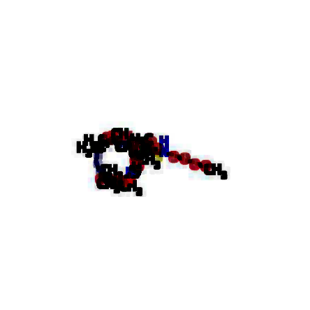 COCCOCCOCCOCCNC(=S)O[C@@H]1CC[C@@H](C[C@@H](C)[C@@H]2CC(=O)[C@H](C)/C=C(\C)[C@@H](O)[C@@H](OC)C(=O)[C@H](C)C[C@H](C)/C=C/C=C/C=C(\C)[C@@H](OC)C[C@@H]3CC[C@@H](C)[C@@](O)(O3)C(=O)C(=O)N3CCCC[C@H]3C(=O)O2)C[C@H]1OC